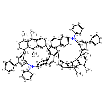 CC1C=CC2(C)C3=C1C(C)c1ccc(cc1C3C)-c1c3ccc4cc5ccc4c3c(c3ccc4cc(ccc4c13)N(c1ccccc1)c1cc(-c3ccccc3)cc2c1)-c1ccc2c(c1)C(C)C1=C(C(C)C=CC1(C)c1cc(-c3ccccc3)cc(c1)N5c1ccccc1)C2C